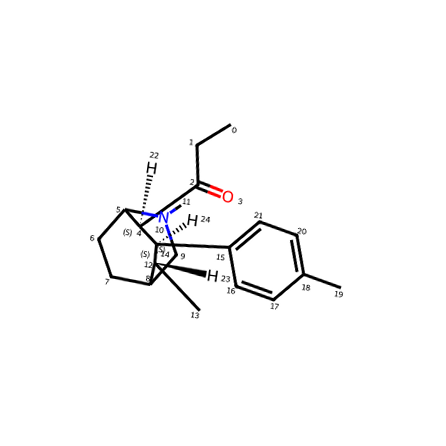 CCC(=O)[C@@H]1C2CCC(CN2C)[C@@H](C)[C@@H]1c1ccc(C)cc1